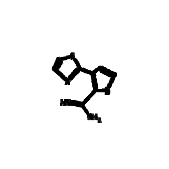 N=C(N)c1sccc1-c1nccs1